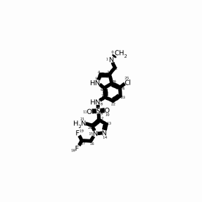 C=NCc1c[nH]c2c(NS(=O)(=O)c3cnn(CC(F)F)c3N)ccc(Cl)c12